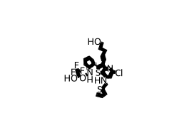 CN[C@@H]1CC=CC[C@H]1c1sc2c(NCc3cccs3)cc(Cl)nc2c1C#CCCCO.O=C(O)C(F)(F)F